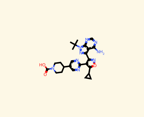 CC(C)(C)n1nc(-c2noc(C3CC3)c2-c2ncc(C3CCN(C(=O)O)CC3)cn2)c2c(N)ncnc21